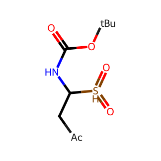 CC(=O)CC(NC(=O)OC(C)(C)C)[SH](=O)=O